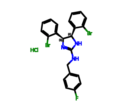 Cl.Fc1ccc(CNC2=N[C@@H](c3ccccc3Br)[C@@H](c3ccccc3Br)N2)cc1